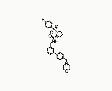 O=C(NCc1cccc(-c2ccc(CN3CCOCC3)cc2)c1)[C@@H]1CCCN1S(=O)(=O)c1ccc(F)cc1